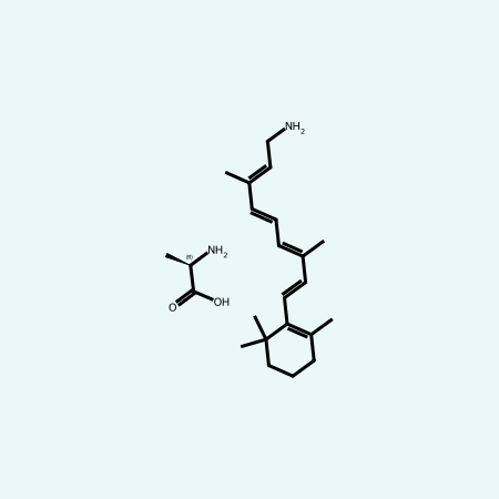 CC(C=CC1=C(C)CCCC1(C)C)=CC=CC(C)=CCN.C[C@@H](N)C(=O)O